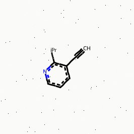 C#Cc1cccnc1C(C)C